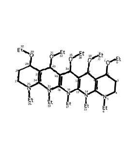 CCOC1CCN(CC)C2=C1C(OCC)C1=C(N2CC)N(CC)C2=C(C(OCC)C3=C(N(CC)CCC3OCC)N2CC)C1OCC